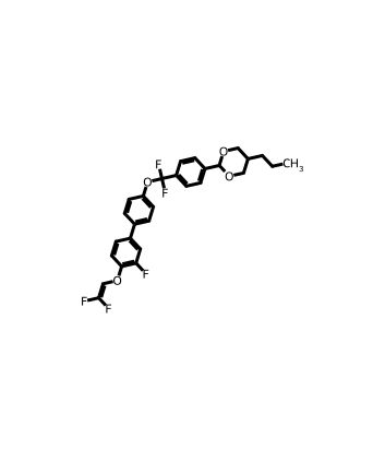 CCCC1COC(c2ccc(C(F)(F)Oc3ccc(-c4ccc(OC=C(F)F)c(F)c4)cc3)cc2)OC1